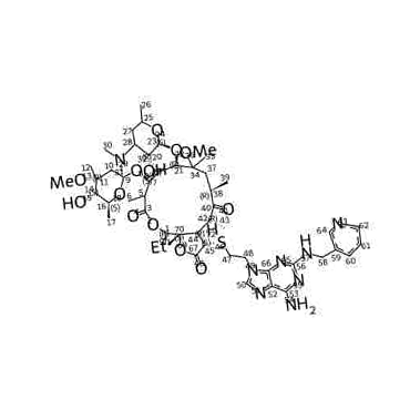 CC[C@H]1OC(=O)C(C)[C@@H](OC2C[C@@](C)(OC)[C@@H](O)[C@H](C)O2)[C@H](C)[C@@H](O[C@@H]2OC(C)CC(N(C)C)[C@H]2O)C(C)(OC)C[C@@H](C)C(=O)[C@H](C)[C@H]2[C@H](SCCn3cnc4c(N)nc(NCc5cccnc5)nc43)C(=O)O[C@@]21C